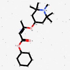 C/C(=C/C(=O)OC1CCCCC1)OC1CC(C)(C)N(C)C(C)(C)C1